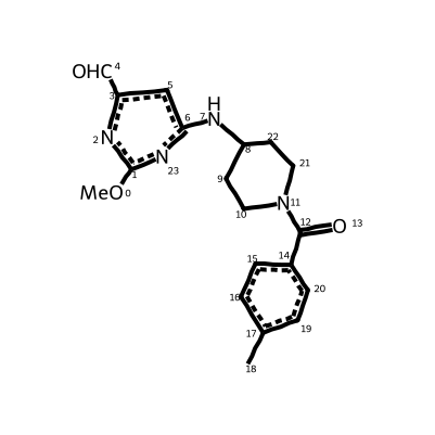 COc1nc(C=O)cc(NC2CCN(C(=O)c3ccc(C)cc3)CC2)n1